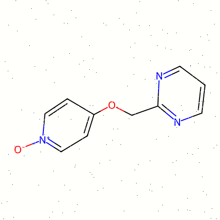 [O-][n+]1ccc(OCc2ncccn2)cc1